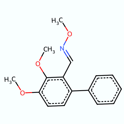 CON=Cc1c(-c2ccccc2)ccc(OC)c1OC